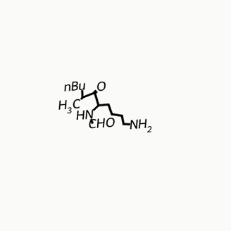 CCCCC(C)C(=O)C(CCCCN)NC=O